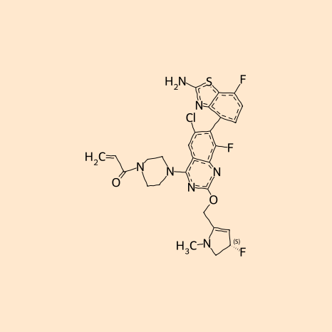 C=CC(=O)N1CCN(c2nc(OCC3=C[C@H](F)CN3C)nc3c(F)c(-c4ccc(F)c5sc(N)nc45)c(Cl)cc23)CC1